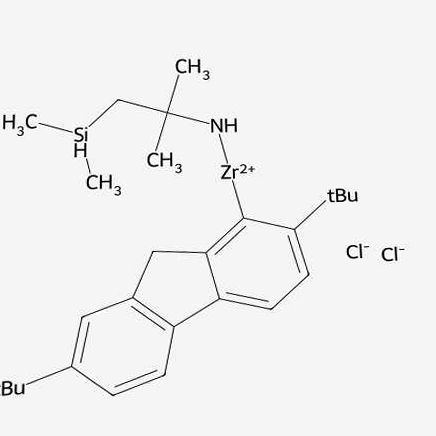 C[SiH](C)CC(C)(C)[NH][Zr+2][c]1c(C(C)(C)C)ccc2c1Cc1cc(C(C)(C)C)ccc1-2.[Cl-].[Cl-]